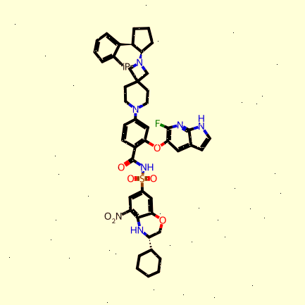 CC(C)c1ccccc1[C@H]1CCC[C@H]1N1CC2(CCN(c3ccc(C(=O)NS(=O)(=O)c4cc5c(c([N+](=O)[O-])c4)N[C@@H](C4CCCCC4)CO5)c(Oc4cc5cc[nH]c5nc4F)c3)CC2)C1